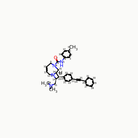 Cc1ccc(NC(=O)N2C/C=C\CN3[C@H](CN(C)C)[C@H](c4ccc(C#Cc5ccccc5)cc4)[C@@H]3C2)cc1